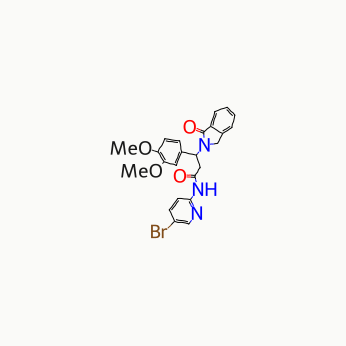 COc1ccc(C(CC(=O)Nc2ccc(Br)cn2)N2Cc3ccccc3C2=O)cc1OC